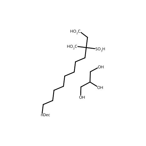 CCCCCCCCCCCCCCCCCCC(CC(=O)O)(C(=O)O)S(=O)(=O)O.OCC(O)CO